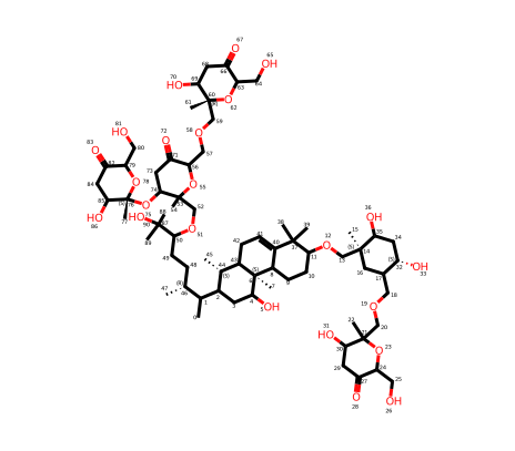 CC(C1CC(O)[C@]2(C)C3CCC(OC[C@]4(C)CC(COCC5(C)OC(CO)C(=O)CC5O)[C@@H](O)CC4O)C(C)(C)C3=CCC2[C@H]1C)[C@H](C)CCC(OCC1(C)OC(COC[C@@]2(C)OC(CO)C(=O)CC2O)C(=O)CC1O[C@@]1(C)OC(CO)C(=O)CC1O)C(C)(C)O